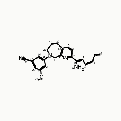 C=C/C=C\C=C(/N)c1ccc2c(n1)CN(c1cc(C#N)cc(OC)c1)CCC2